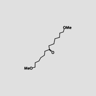 COCCCCCCC(=O)CCCCCCOC